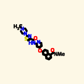 CNC(=O)c1cccc2cc(Oc3ccnc(NC(=O)c4csc(N5CCN(C)CC5)n4)c3)ccc12